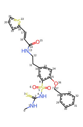 CNC(=S)NS(=O)(=O)c1cc(CCNC(=O)C=Cc2cccs2)ccc1OCc1ccccc1